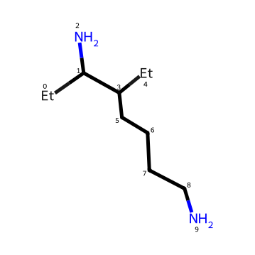 CCC(N)C(CC)CCCCN